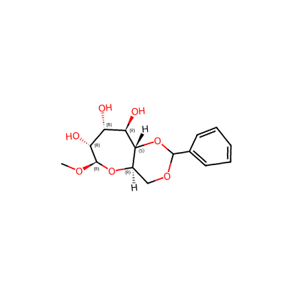 CO[C@@H]1O[C@@H]2COC(c3ccccc3)O[C@H]2[C@H](O)[C@@H](O)[C@H]1O